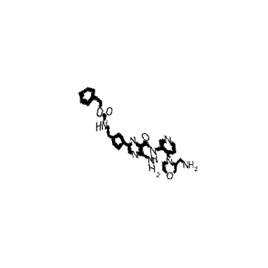 NCC1COCCN1c1ccncc1NC(=O)c1nc(-c2ccc(CCNC(=O)OCc3ccccc3)cc2)cnc1N